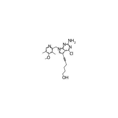 COc1c(C)cnc(Cn2cc(C#CCCCCO)c3c(Cl)nc(N)nc32)c1C